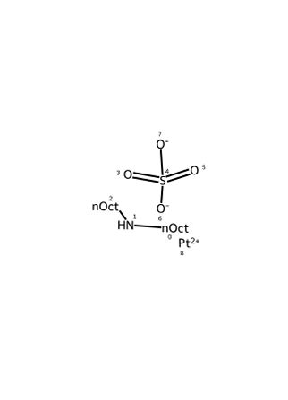 CCCCCCCCNCCCCCCCC.O=S(=O)([O-])[O-].[Pt+2]